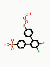 O=S(=O)(O)c1ccc(-c2cc(F)c(F)cc2-c2ccc(SOOO)cc2)cc1